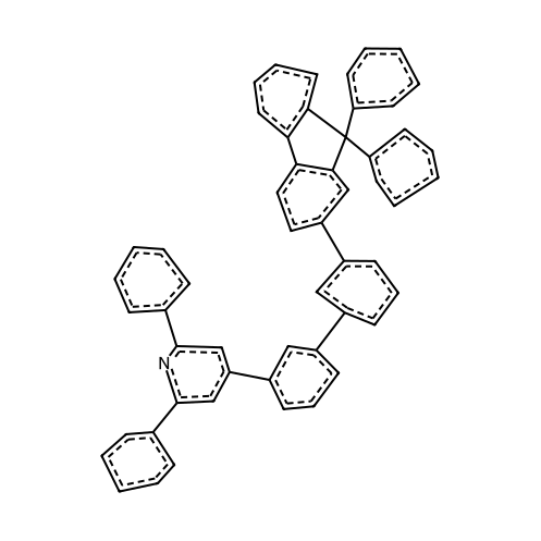 c1ccc(-c2cc(-c3cccc(-c4cccc(-c5ccc6c(c5)C(c5ccccc5)(c5ccccc5)c5ccccc5-6)c4)c3)cc(-c3ccccc3)n2)cc1